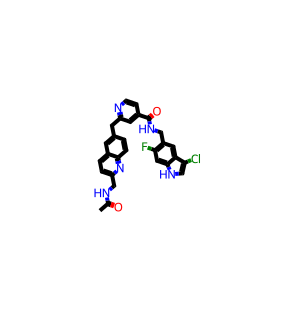 CC(=O)NCc1ccc2cc(Cc3cc(C(=O)NCc4cc5c(Cl)c[nH]c5cc4F)ccn3)ccc2n1